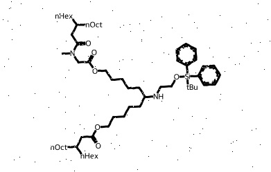 CCCCCCCCC(CCCCCC)CC(=O)OCCCCCC(CCCCCOC(=O)CN(C)C(=O)CC(CCCCCC)CCCCCCCC)NCCO[Si](c1ccccc1)(c1ccccc1)C(C)(C)C